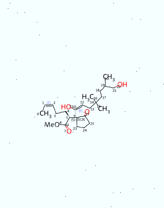 C/C=C\CC[C@H](C(=O)OC)[C@]1(/C(O)=C\CC(C)(C)CCC(C)CO)CCCC1=O